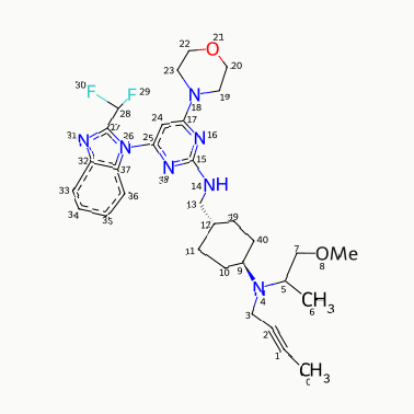 CC#CCN(C(C)COC)[C@H]1CC[C@H](CNc2nc(N3CCOCC3)cc(-n3c(C(F)F)nc4ccccc43)n2)CC1